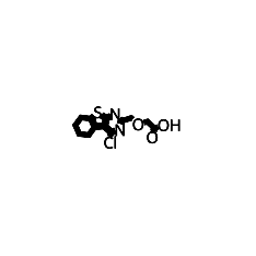 O=C(O)COCc1nc(Cl)c2c3c(sc2n1)CCCC3